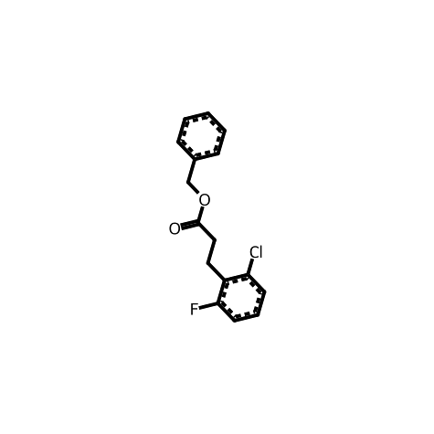 O=C(CCc1c(F)cccc1Cl)OCc1ccccc1